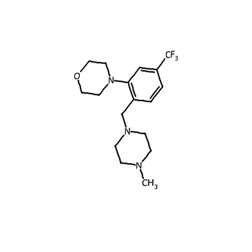 CN1CCN(Cc2ccc(C(F)(F)F)cc2N2CCOCC2)CC1